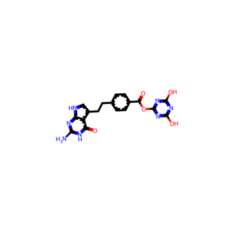 Nc1nc2[nH]cc(CCc3ccc(C(=O)Oc4nc(O)nc(O)n4)cc3)c2c(=O)[nH]1